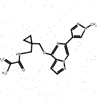 C=C(C)C(=O)NCC1(COc2nc(-c3cnn(C)c3)cn3nccc23)CC1